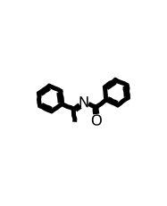 C/C(=N\C(=O)c1ccccc1)c1ccccc1